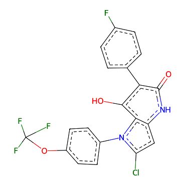 O=c1[nH]c2cc(Cl)n(-c3ccc(OC(F)(F)F)cc3)c2c(O)c1-c1ccc(F)cc1